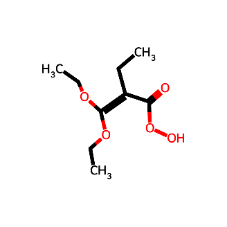 CCOC(OCC)=C(CC)C(=O)OO